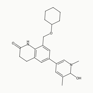 CC1=CC(c2cc3c(c(COC4CCCCC4)c2)NC(=O)CC3)=CN(C)C1O